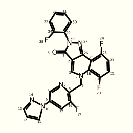 O=c1c2cn(Cc3ncc(-n4cccn4)cc3F)c3c(F)ccc(F)c3c-2nn1-c1ccccc1F